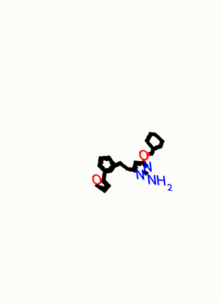 Nc1nc(CCc2cccc(-c3ccco3)c2)cc(OCC2CCCCC2)n1